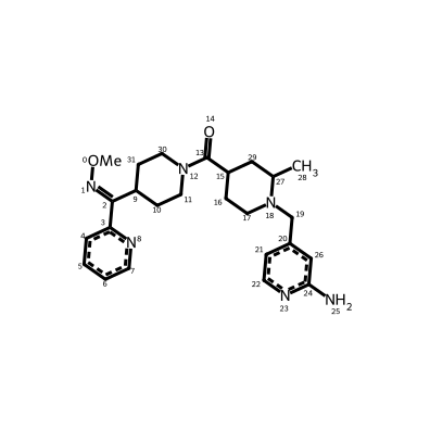 CON=C(c1ccccn1)C1CCN(C(=O)C2CCN(Cc3ccnc(N)c3)C(C)C2)CC1